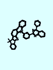 CC1(C)c2ccccc2-c2sc3c(ccc4c5ccccc5n(-c5cccc(-c6nc(-c7ccccc7)c7ccccc7n6)c5)c43)c21